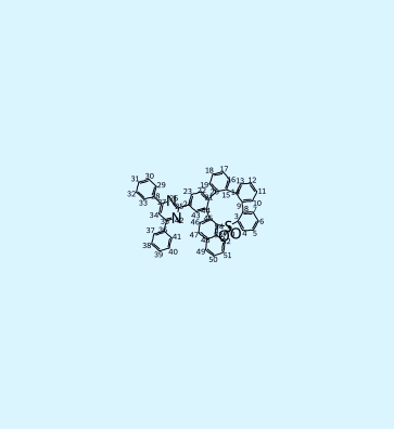 O=S1(=O)c2ccccc2-c2ccccc2-c2ccccc2-c2ccc(-c3nc(-c4ccccc4)cc(-c4ccccc4)n3)cc2-c2ccc3ccccc3c21